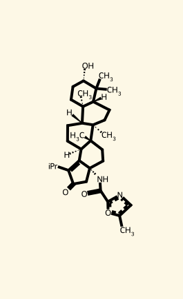 Cc1cnc(C(=O)N[C@@]23CC[C@]4(C)[C@H](CC[C@@H]5[C@@]6(C)CC[C@H](O)C(C)(C)[C@@H]6CC[C@]54C)C2=C(C(C)C)C(=O)C3)o1